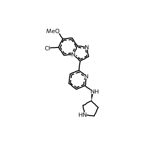 COc1cc2ncc(-c3cccc(N[C@H]4CCNC4)n3)n2cc1Cl